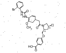 COC1=C(NC(=O)Nc2ccccc2Br)C=CC(CC(=O)N2C[C@@H](Cl)C[C@H]2COc2ccc(C(=O)O)cc2)C1